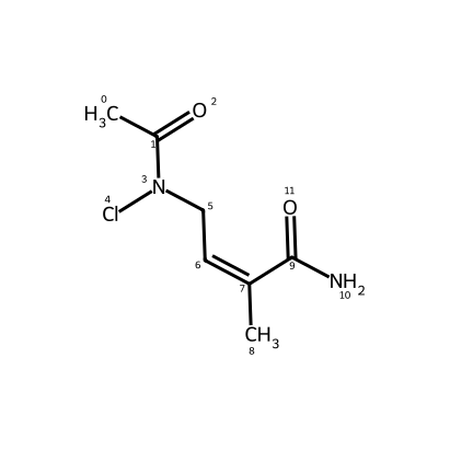 CC(=O)N(Cl)CC=C(C)C(N)=O